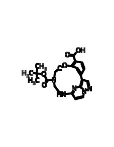 CC(C)(C)OC(=O)N1CCNc2ccn3ncc(c3n2)-c2ccc(C(=O)O)c(c2)OCC1